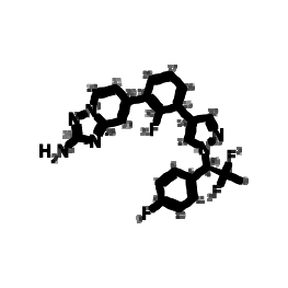 CC(F)(F)[C@@H](c1ccc(F)cc1)n1cc(-c2cccc(-c3ccn4nc(N)nc4c3)c2F)cn1